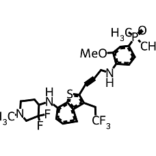 COc1cc(P(C)(C)=O)ccc1NCC#Cc1sc2c(NC3CCN(C)CC3(F)F)cccc2c1CC(F)(F)F